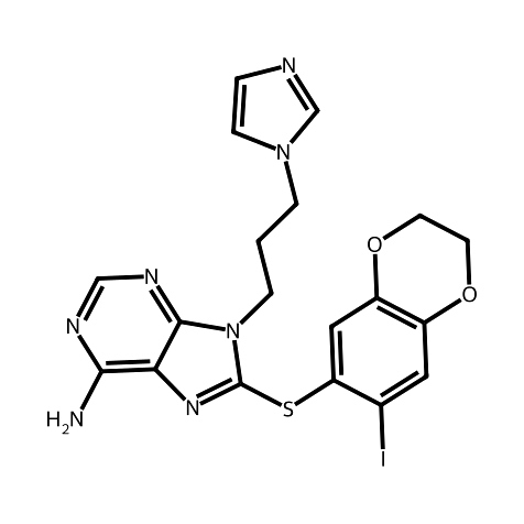 Nc1ncnc2c1nc(Sc1cc3c(cc1I)OCCO3)n2CCCn1ccnc1